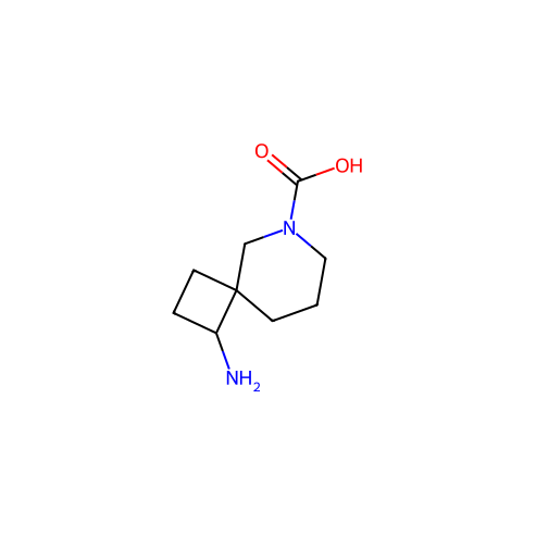 NC1CCC12CCCN(C(=O)O)C2